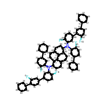 Fc1cc(-c2ccc(F)c(N(c3cc(-c4ccccc4)ccc3F)c3ccc4ccc5c(N(c6cc(-c7ccccc7)ccc6F)c6cc(-c7cc(-c8ccccc8)ccc7F)ccc6F)ccc6ccc3c4c65)c2)ccc1-c1ccccc1